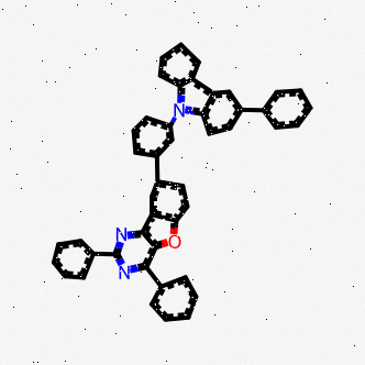 c1ccc(-c2ccc3c(c2)c2ccccc2n3-c2cccc(-c3ccc4oc5c(-c6ccccc6)nc(-c6ccccc6)nc5c4c3)c2)cc1